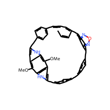 C\C=C/C1=C\C=C/c2ccc(cc2)-c2cc3c(OC)c4[nH]c(cc4c(OC)c3[nH]2)-c2ccc(cc2)-c2ccc(cc2)-c2ccc1c1nonc21